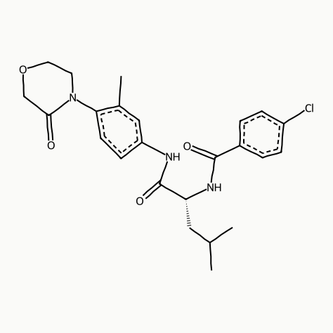 Cc1cc(NC(=O)[C@@H](CC(C)C)NC(=O)c2ccc(Cl)cc2)ccc1N1CCOCC1=O